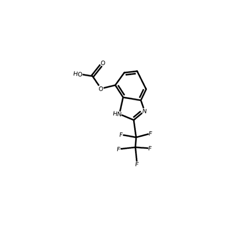 O=C(O)Oc1cccc2nc(C(F)(F)C(F)(F)F)[nH]c12